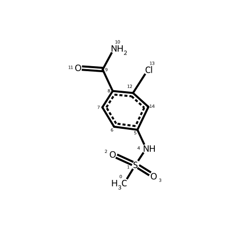 CS(=O)(=O)Nc1ccc(C(N)=O)c(Cl)c1